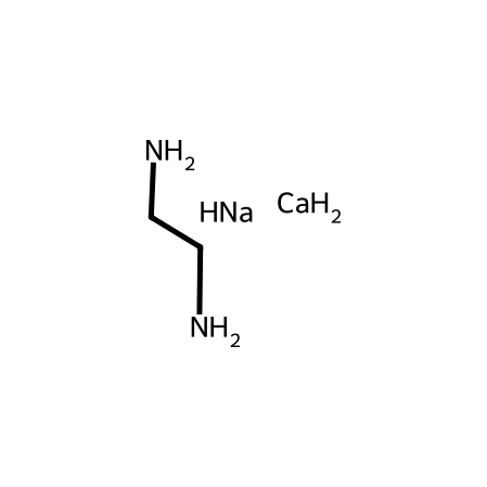 NCCN.[CaH2].[NaH]